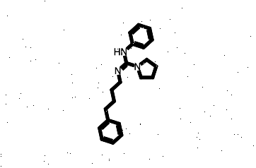 c1ccc(CCCCN=C(Nc2ccccc2)N2CCCC2)cc1